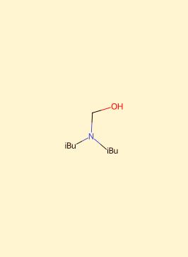 CCC(C)N(CO)C(C)CC